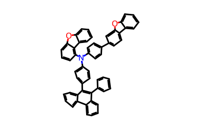 c1ccc(-c2c(-c3ccc(N(c4ccc(-c5ccc6c(c5)oc5ccccc56)cc4)c4cccc5oc6ccccc6c45)cc3)c3ccccc3c3ccccc23)cc1